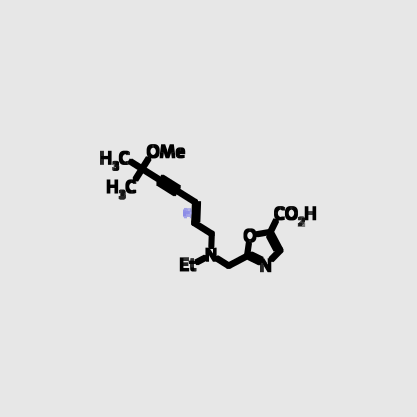 CCN(C/C=C/C#CC(C)(C)OC)Cc1ncc(C(=O)O)o1